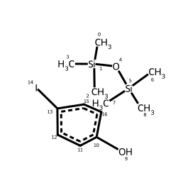 C[Si](C)(C)O[Si](C)(C)C.Oc1ccc(I)cc1